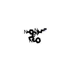 C/C=C/CCc1cnc(-c2ccc(C#N)cc2OC2=C=CCN=C(CC3=CCCCCC3)S2)nc1